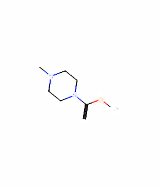 C=C(OC(C)(C)C)N1CCN(C)CC1